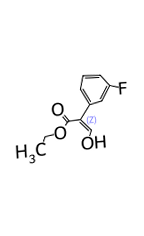 CCOC(=O)/C(=C\O)c1cccc(F)c1